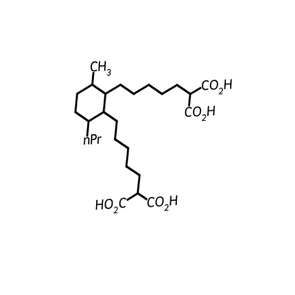 CCCC1CCC(C)C(CCCCCC(C(=O)O)C(=O)O)C1CCCCCC(C(=O)O)C(=O)O